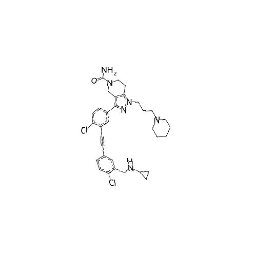 NC(=O)N1CCc2c(c(-c3ccc(Cl)c(C#Cc4ccc(Cl)c(CNC5CC5)c4)c3)nn2CCCN2CCCCC2)C1